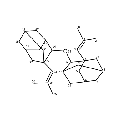 CC(C)=CC12CC3CC(CC(C3)C1OC1C3CC4CC(C3)CC1(C=C(C)C)C4)C2